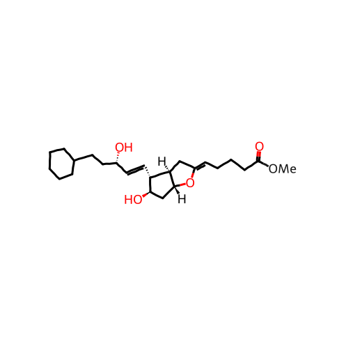 COC(=O)CCC/C=C1/C[C@@H]2[C@@H](/C=C/[C@@H](O)CCC3CCCCC3)[C@H](O)C[C@H]2O1